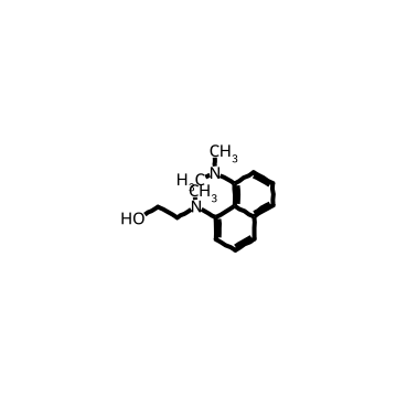 CN(C)c1cccc2cccc(N(C)CCO)c12